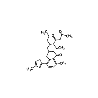 CCCC(CC1CC(=O)c2c(C)ccc(C3=CC(C)=CC3)c2C1)C(CC)C(=O)CC(C)=O